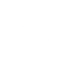 O=c1[nH]c2c(ccc3c2ccc2cccnc23)o1